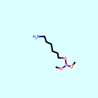 COP(OC)OCCCCCCN